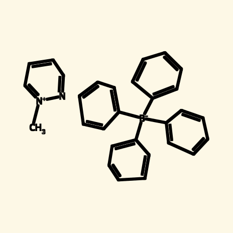 C[n+]1ccccn1.c1ccc([B-](c2ccccc2)(c2ccccc2)c2ccccc2)cc1